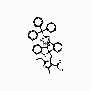 CCc1nc(C)c(C(=O)O)n1CC1(c2ccccc2-c2nnn(C(c3ccccc3)(c3ccccc3)c3ccccc3)n2)Oc2ccccc2C1Br